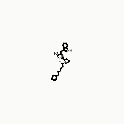 NC(O)C(Cc1c[nH]c2ccccc12)NC(=O)C1CCCN1C(=O)CCCCCc1ccccc1